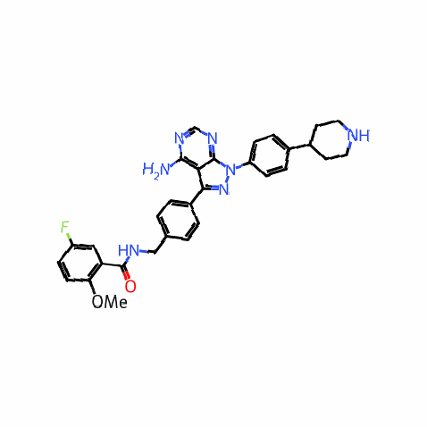 COc1ccc(F)cc1C(=O)NCc1ccc(-c2nn(-c3ccc(C4CCNCC4)cc3)c3ncnc(N)c23)cc1